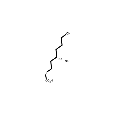 O=C(O)OCCCCCCO.[NaH].[NaH]